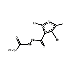 CCCCCCCC(=O)NNC(=O)c1c(Br)c(C)nn1CC